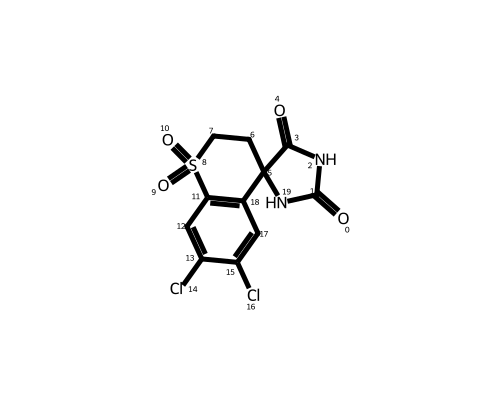 O=C1NC(=O)C2(CCS(=O)(=O)c3cc(Cl)c(Cl)cc32)N1